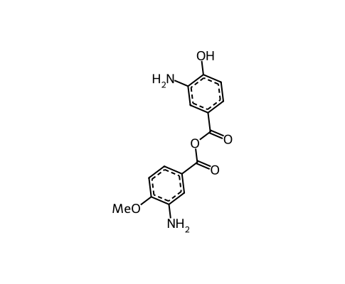 COc1ccc(C(=O)OC(=O)c2ccc(O)c(N)c2)cc1N